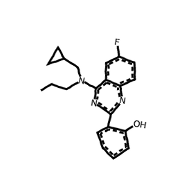 CCCN(CC1CC1)c1nc(-c2ccccc2O)nc2ccc(F)cc12